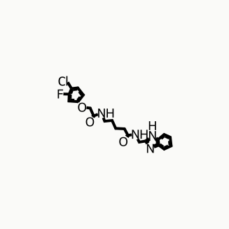 O=C(CCCCNC(=O)COc1ccc(Cl)c(F)c1)NCc1nc2ccccc2[nH]1